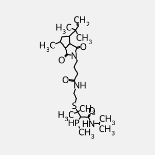 C=CC(C)(C)C1CC(C)C2C(=O)N(CCCC(=O)NCCSC(C)(C)C(PC)C(=O)NC(C)C)C(=O)C21